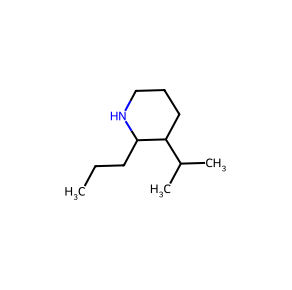 CCCC1NCCCC1C(C)C